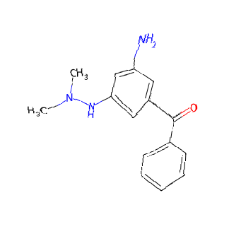 CN(C)Nc1cc(N)cc(C(=O)c2ccccc2)c1